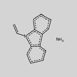 C=Cn1c2ccccc2c2ccccc21.N